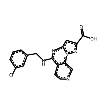 O=C(O)c1cc2nc(NCc3cccc(Cl)c3)c3ccncc3n2n1